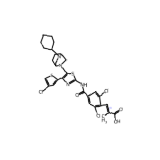 C/C(=C\c1c(Cl)cc(C(=O)Nc2nc(-c3cc(Cl)cs3)c(N3CC4CCC3CN4C3CCCCC3)s2)cc1Cl)C(=O)O